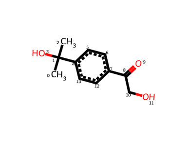 CC(C)(O)c1ccc(C(=O)CO)cc1